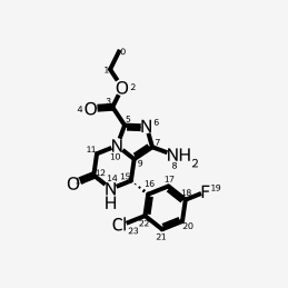 CCOC(=O)c1nc(N)c2n1CC(=O)N[C@H]2c1cc(F)ccc1Cl